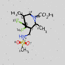 CC1C(CNS(C)(=O)=O)C(F)(F)C(C)CN1C(=O)O